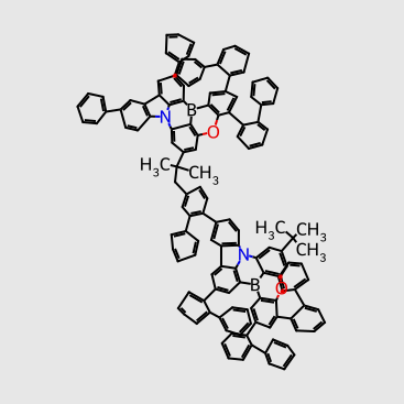 CC(C)(C)c1cc2c3c(c1)-n1c4ccc(-c5ccc(CC(C)(C)c6cc7c8c(c6)-n6c9ccc(-c%10ccccc%10)cc9c9cc(-c%10ccccc%10)cc(c96)B8c6cc(-c8ccccc8-c8ccccc8)cc(-c8ccccc8-c8ccccc8)c6O7)cc5-c5ccccc5)cc4c4cc(-c5ccccc5-c5ccccc5)cc(c41)B3c1cc(-c3ccccc3-c3ccccc3)cc(-c3ccccc3-c3ccccc3)c1O2